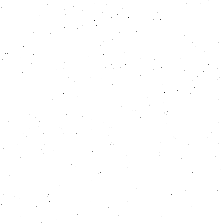 CNC(=O)c1ccc2c(-c3cc(Cl)cc4c3O[C@@H](C(=O)N3CCNCC3)C4)ccnc2c1